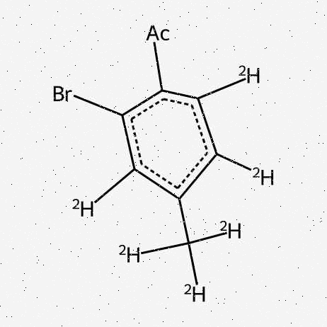 [2H]c1c([2H])c(C([2H])([2H])[2H])c([2H])c(Br)c1C(C)=O